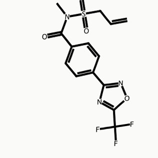 C=CCS(=O)(=O)N(C)C(=O)c1ccc(-c2noc(C(F)(F)F)n2)cc1